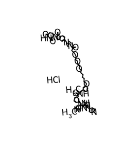 C[C@@H](NC(=O)c1cccc(NC2(c3nnc(-c4ccncc4)[nH]3)CCN(C)CC2)c1)c1cccc(OCCCCCCOCCOCCOCCC(=O)N2CCN(c3ccc4c(c3)CN(C3CCC(=O)NC3=O)C4=O)CC2)c1.Cl